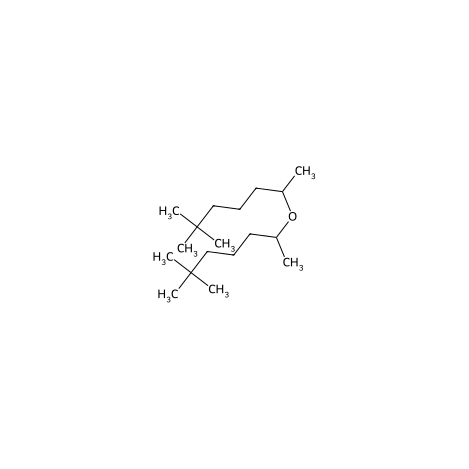 CC(CCCC(C)(C)C)OC(C)CCCC(C)(C)C